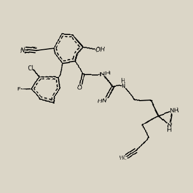 C#CCCC1(CCNC(=N)NC(=O)c2c(O)ccc(C#N)c2-c2cccc(F)c2Cl)NN1